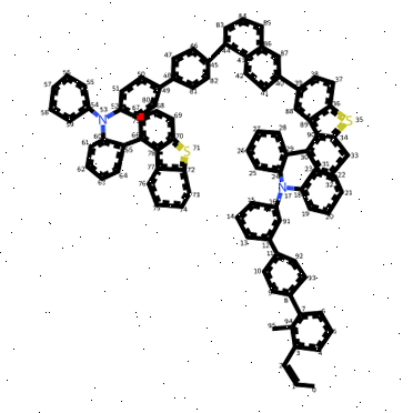 C/C=C\c1cccc(-c2ccc(-c3cccc(N(c4ccccc4)c4ccccc4-c4cccc5sc6ccc(-c7ccc8c(-c9ccc(-c%10ccc(N(c%11ccccc%11)c%11ccccc%11-c%11cccc%12sc%13ccccc%13c%11%12)cc%10)cc9)cccc8c7)cc6c45)c3)cc2)c1C